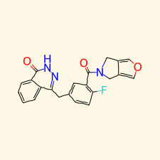 O=C(c1cc(Cc2n[nH]c(=O)c3ccccc23)ccc1F)N1Cc2cocc2C1